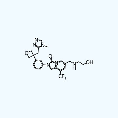 Cn1cnnc1CC1(c2cccc(-n3cc4c(C(F)(F)F)cc(CNCCO)cn4c3=O)c2)COC1